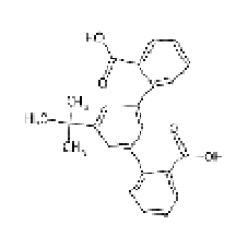 CC(C)(C)c1cc(-c2ccccc2C(=O)O)cc(-c2ccccc2C(=O)O)c1